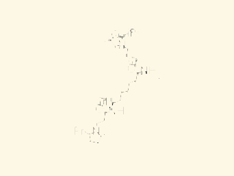 CC(C)C1CCCN1CCC(NCCCCCCC(N)OOCCN1CCOC1C(C)C)OO